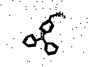 NCc1ccc([SiH](c2ccccc2)c2ccccc2)cc1